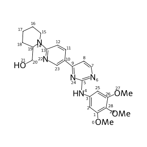 COc1cc(Nc2nccc(-c3ccc(N4CCCCC4CO)nc3)n2)cc(OC)c1OC